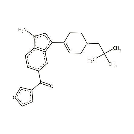 CC(C)(C)CN1CC=C(c2cn(N)c3ccc(C(=O)c4ccoc4)cc23)CC1